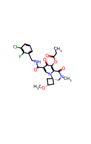 CCC(=O)Oc1c2n(cc(C(=O)NCc3cccc(Cl)c3F)c1=O)[C@]1(CN(C)C2=O)C[C@@H](OC)C1